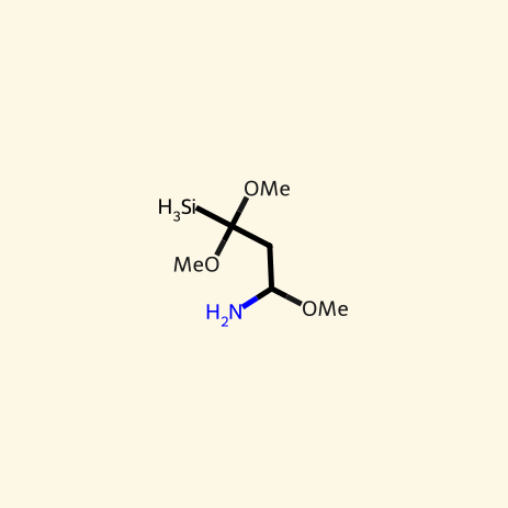 COC(N)CC([SiH3])(OC)OC